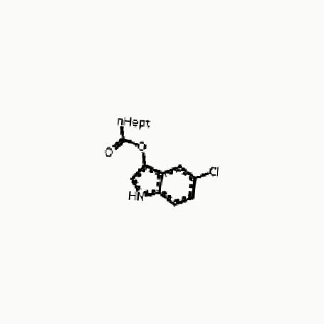 CCCCCCCC(=O)Oc1c[nH]c2ccc(Cl)cc12